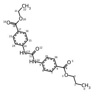 CCCOC(=O)c1ccc(NC(=O)Nc2ccc(C(=O)OCC)cc2)cc1